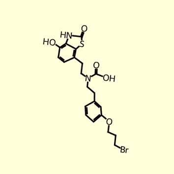 O=C(O)N(CCc1cccc(OCCCBr)c1)CCc1ccc(O)c2[nH]c(=O)sc12